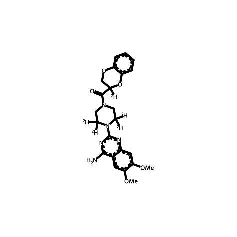 [2H]C1(C(=O)N2CC([2H])([2H])N(c3nc(N)c4cc(OC)c(OC)cc4n3)C([2H])([2H])C2)COc2ccccc2O1